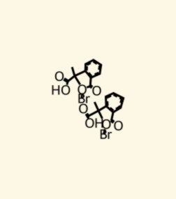 CC(C)(C(=O)O)c1ccccc1C(=O)OBr.CC(C)(C(=O)O)c1ccccc1C(=O)OBr